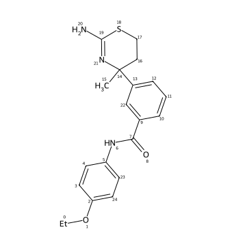 CCOc1ccc(NC(=O)c2cccc(C3(C)CCSC(N)=N3)c2)cc1